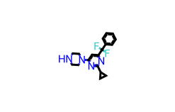 FC(F)(c1ccccc1)c1cc(N2CCNCC2)nc(C2CC2)n1